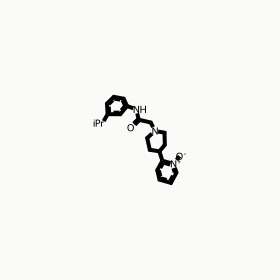 CC(C)c1cccc(NC(=O)CN2CCC(c3cccc[n+]3[O-])CC2)c1